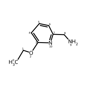 CCOc1cccc(CN)n1